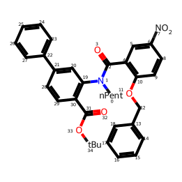 CCCCCN(C(=O)c1cc([N+](=O)[O-])ccc1OCc1ccccc1)c1cc(-c2ccccc2)ccc1C(=O)OC(C)(C)C